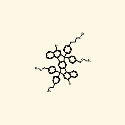 CCCCOCc1ccc(C2(c3ccc(CCCOCC)cc3)c3cc4c(cc3-c3c2cc(Br)c2ccccc32)C(c2ccc(COCCCC)cc2)(c2ccc(COCCCC)cc2)c2cc(Br)c3ccccc3c2-4)cc1